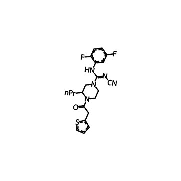 CCCC1CN(/C(=N\C#N)Nc2cc(F)ccc2F)CCN1C(=O)Cc1cccs1